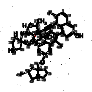 CC(C)[Si](C#Cc1c(F)ccc2cc(O)cc(-c3c(F)cc4c(N5CCCC6(CNCN6)C5)nc(OC[C@@]56CCCN5C[C@H](F)C6)nc4c3F)c12)(C(C)C)C(C)C